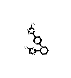 Cc1noc(C2CCCCN2c2ccc(-c3noc(C(F)(F)F)n3)cn2)n1